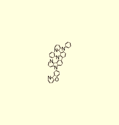 c1ccc(-n2c3cccnc3c3c2ccc2c4ccc5c(c6ncccc6n5-c5ccc6oc7cccnc7c6c5)c4n(-c4ccccc4)c23)cc1